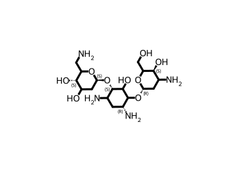 NCC1O[C@@H](O[C@H]2C(N)C[C@@H](N)C(O[C@H]3CC(N)[C@H](O)C(CO)O3)C2O)CC(O)[C@@H]1O